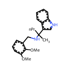 CCCC(C)(NCc1cccc(OC)c1OC)c1c[nH]c2ccccc12